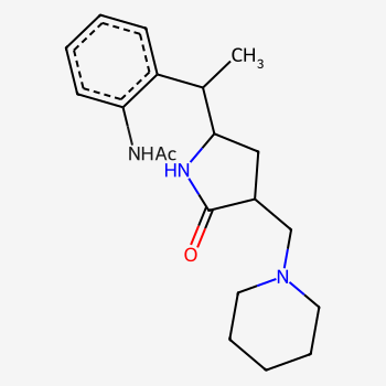 CC(=O)Nc1ccccc1C(C)C1CC(CN2CCCCC2)C(=O)N1